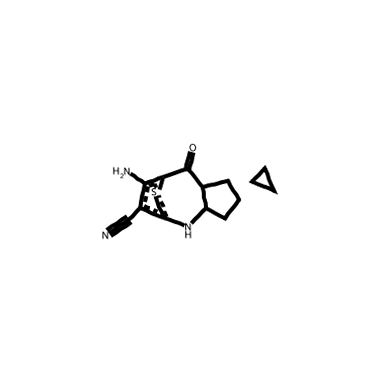 C1CC1.N#Cc1c2sc(c1N)C(=O)C1CCCC1N2